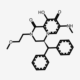 CNc1cn2c(c(O)c1=O)C(=O)N(CCOC)C[C@@H]2C(c1ccccc1)c1ccccc1